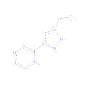 CCn1cc(-c2cnccn2)nn1